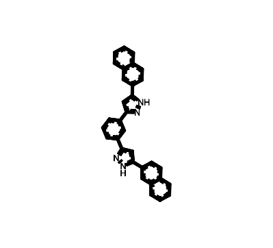 c1cc(-c2cc(-c3ccc4ccccc4c3)[nH]n2)cc(-c2cc(-c3ccc4ccccc4c3)[nH]n2)c1